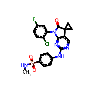 CNS(=O)(=O)c1ccc(Nc2ncc3c(n2)N(c2cc(F)ccc2Cl)C(=O)C32CC2)cc1